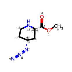 COC(=O)[C@@H]1C[C@H](N=[N+]=[N-])CCN1